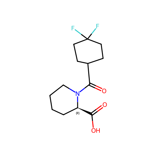 O=C(O)[C@H]1CCCCN1C(=O)C1CCC(F)(F)CC1